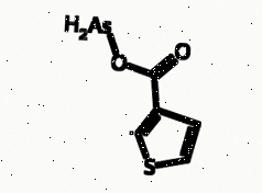 O=C(O[AsH2])c1[c]scc1